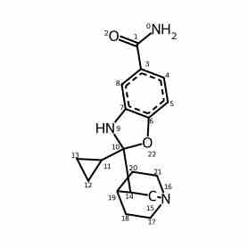 NC(=O)c1ccc2c(c1)NC(C1CC1)(C1CN3CCC1CC3)O2